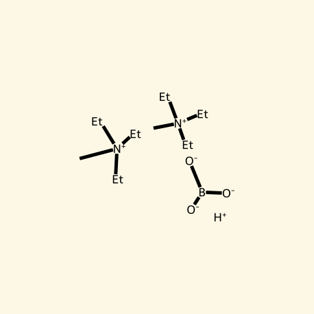 CC[N+](C)(CC)CC.CC[N+](C)(CC)CC.[H+].[O-]B([O-])[O-]